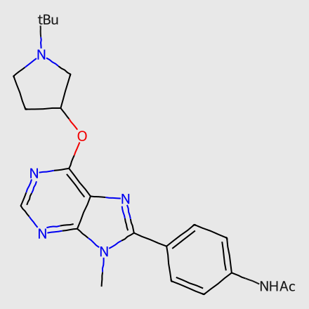 CC(=O)Nc1ccc(-c2nc3c(OC4CCN(C(C)(C)C)C4)ncnc3n2C)cc1